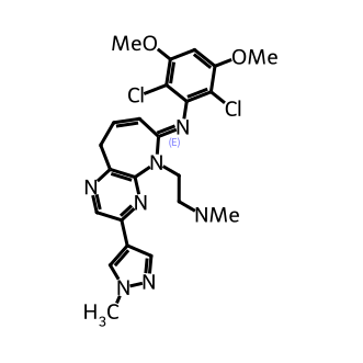 CNCCN1/C(=N/c2c(Cl)c(OC)cc(OC)c2Cl)C=CCc2ncc(-c3cnn(C)c3)nc21